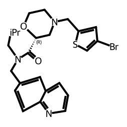 CC(C)CN(Cc1ccc2ncccc2c1)C(=O)[C@H]1CN(Cc2cc(Br)cs2)CCO1